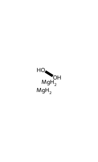 OO.[MgH2].[MgH2]